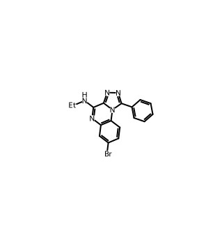 CCNc1nc2cc(Br)ccc2n2c(-c3ccccc3)nnc12